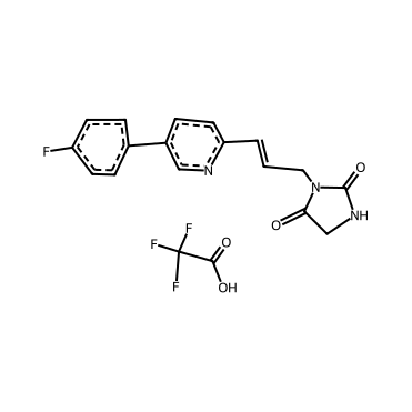 O=C(O)C(F)(F)F.O=C1CNC(=O)N1CC=Cc1ccc(-c2ccc(F)cc2)cn1